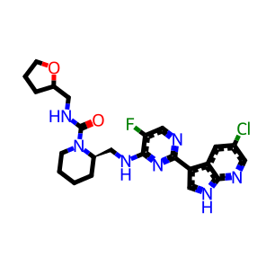 O=C(NCC1CCCO1)N1CCCC[C@@H]1CNc1nc(-c2c[nH]c3ncc(Cl)cc23)ncc1F